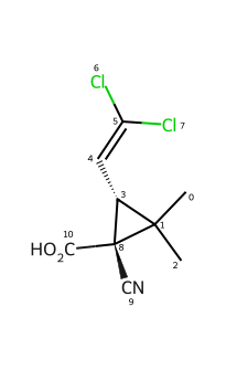 CC1(C)[C@@H](C=C(Cl)Cl)[C@@]1(C#N)C(=O)O